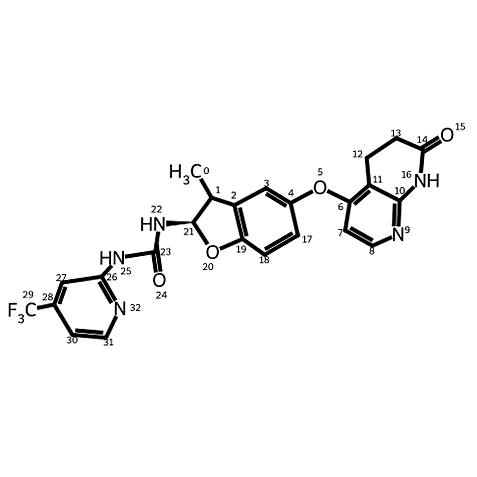 CC1c2cc(Oc3ccnc4c3CCC(=O)N4)ccc2O[C@H]1NC(=O)Nc1cc(C(F)(F)F)ccn1